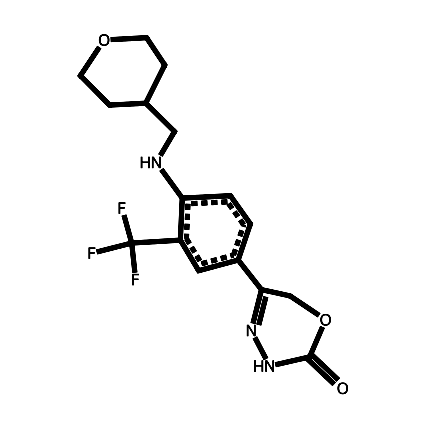 O=C1NN=C(c2ccc(NCC3CCOCC3)c(C(F)(F)F)c2)CO1